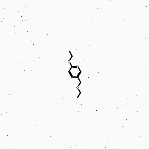 CCOCc1ccc(OCC)nc1